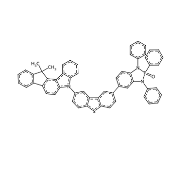 CC1(C)c2ccccc2-c2ccc3c(c21)c1ccccc1n3-c1ccc2sc3ccc(-c4ccc5c(c4)N(c4ccccc4)P(=O)(c4ccccc4)N5c4ccccc4)cc3c2c1